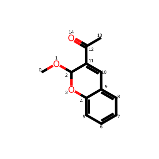 COC1Oc2ccccc2C=C1C(C)=O